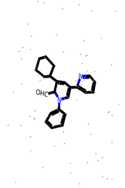 O=CC1C(C2CCCCC2)=CC(c2ccccn2)=CN1c1ccccc1